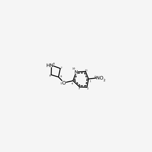 O=[N+]([O-])c1ccc(OC2CNC2)nc1